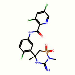 CN1C(=N)N[C@](C)(c2cc(NC(=O)c3ncc(Br)cc3F)ccc2F)CS1(=O)=O